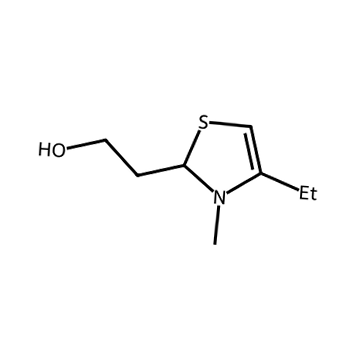 CCC1=CSC(CCO)N1C